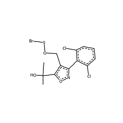 CC(C)(O)c1onc(-c2c(Cl)cccc2Cl)c1COSBr